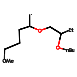 [CH2]C(CCCOC)OCC(CC)OCCCC